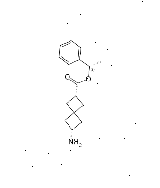 C[C@H](OC(=O)[C@H]1CC2(C[C@@H](N)C2)C1)c1ccccc1